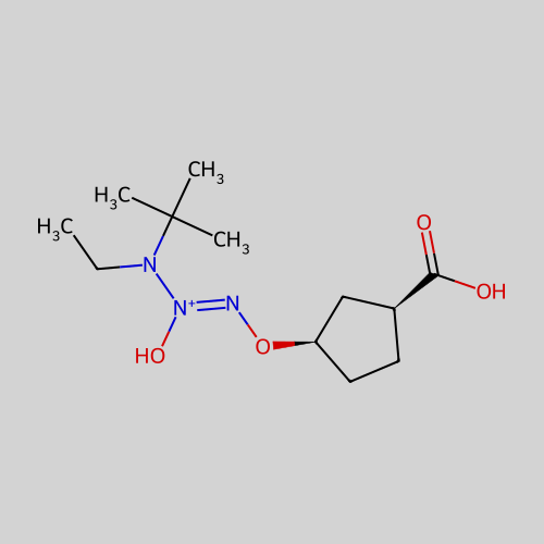 CCN(/[N+](O)=N/O[C@@H]1CC[C@H](C(=O)O)C1)C(C)(C)C